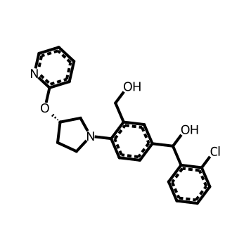 OCc1cc(C(O)c2ccccc2Cl)ccc1N1CC[C@H](Oc2ccccn2)C1